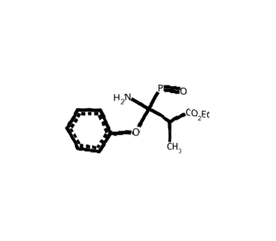 CCOC(=O)C(C)C(N)(Oc1ccccc1)P=O